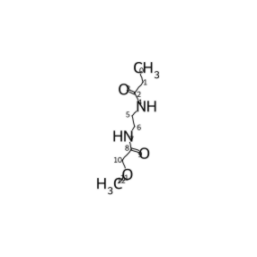 CCC(=O)NCCNC(=O)COC